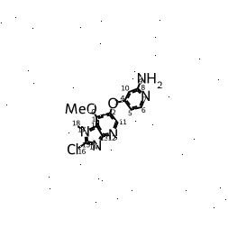 COc1c(Oc2ccnc(N)c2)cnc2nc(Cl)n(C)c12